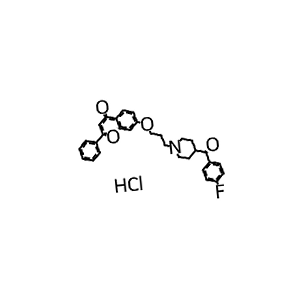 Cl.O=C(c1ccc(F)cc1)C1CCN(CCCOc2ccc3c(=O)cc(-c4ccccc4)oc3c2)CC1